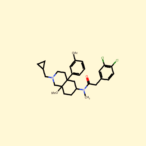 COC12CCC(N(C)C(=O)Cc3ccc(Cl)c(Cl)c3)CC1(c1cccc(OC(C)=O)c1)CCN(CC1CC1)C2